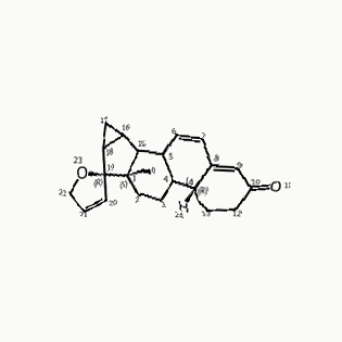 C[C@]12CCC3C(C=CC4=CC(=O)CC[C@@H]43)C1C1CC1[C@@]21C=CCO1